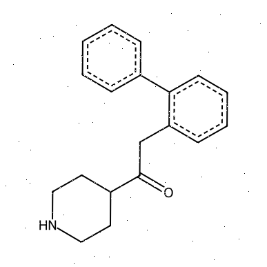 O=C(Cc1ccccc1-c1ccccc1)C1CCNCC1